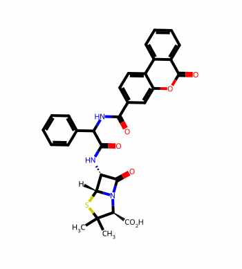 CC1(C)S[C@@H]2[C@H](NC(=O)C(NC(=O)c3ccc4c(c3)oc(=O)c3ccccc34)c3ccccc3)C(=O)N2[C@H]1C(=O)O